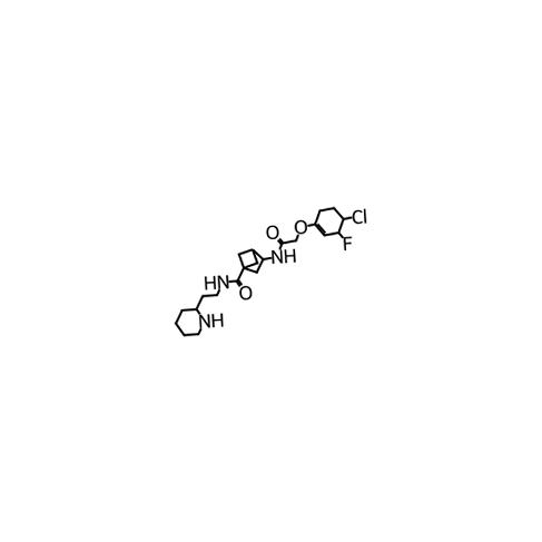 O=C(COC1=CC(F)C(Cl)CC1)NC1CC2(C(=O)NCCC3CCCCN3)CC1C2